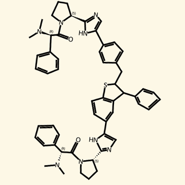 CN(C)[C@@H](C(=O)N1CCC[C@H]1c1ncc(-c2ccc(CC3Sc4ccc(-c5cnc([C@@H]6CCCN6C(=O)[C@@H](c6ccccc6)N(C)C)[nH]5)cc4C3c3ccccc3)cc2)[nH]1)c1ccccc1